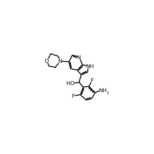 Nc1ccc(F)c(C(O)c2c[nH]c3ncc(N4CCOCC4)cc23)c1F